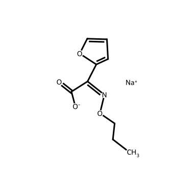 CCCON=C(C(=O)[O-])c1ccco1.[Na+]